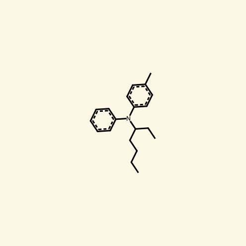 CCCCC(CC)N(c1ccccc1)c1ccc(C)cc1